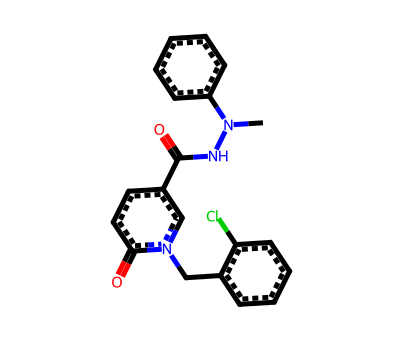 CN(NC(=O)c1ccc(=O)n(Cc2ccccc2Cl)c1)c1ccccc1